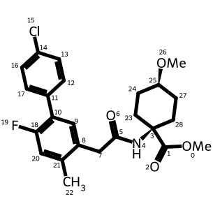 COC(=O)[C@]1(NC(=O)Cc2cc(-c3ccc(Cl)cc3)c(F)cc2C)CC[C@@H](OC)CC1